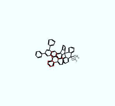 CC1(C)c2ccccc2C2(c3ccccc3-c3cc(N(c4cc(-c5ccccc5)cc(-c5ccccc5)c4)c4ccccc4-c4ccccc4-c4ccccc4-c4ccccc4)ccc32)c2ccccc21